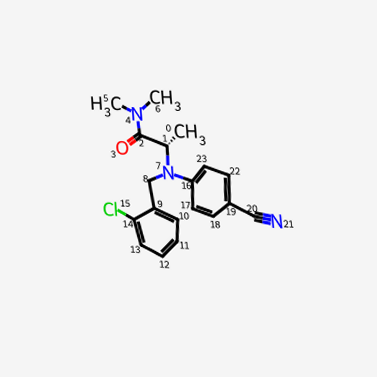 C[C@@H](C(=O)N(C)C)N(Cc1ccccc1Cl)c1ccc(C#N)cc1